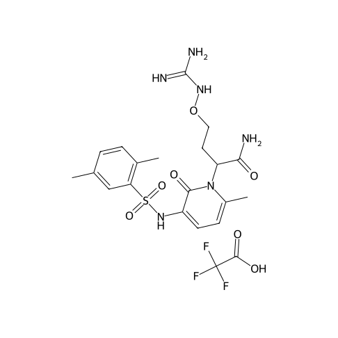 Cc1ccc(C)c(S(=O)(=O)Nc2ccc(C)n(C(CCONC(=N)N)C(N)=O)c2=O)c1.O=C(O)C(F)(F)F